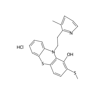 CSc1ccc2c(c1O)N(CCc1ncccc1C)c1ccccc1S2.Cl